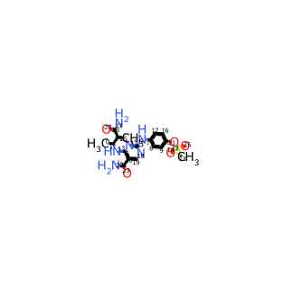 CC(Nc1nc(Nc2ccc(OS(C)(=O)=O)cc2)ncc1C(N)=O)C(C)C(N)=O